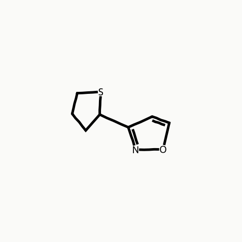 c1cc(C2CCCS2)no1